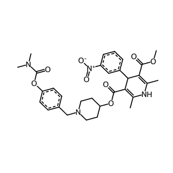 COC(=O)C1=C(C)NC(C)=C(C(=O)OC2CCN(Cc3ccc(OC(=O)N(C)C)cc3)CC2)C1c1cccc([N+](=O)[O-])c1